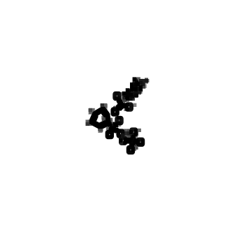 O=C([O-])[O-].O=S(=O)(O)c1ccccc1.O=S(=O)([O-])[O-].[Na+].[Na+].[Na+].[Na+]